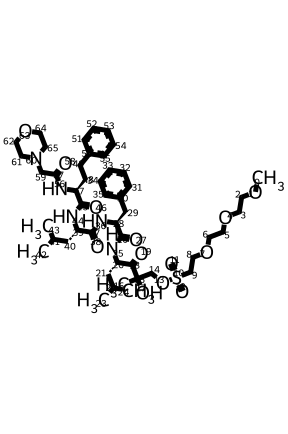 COCCOCCOCCS(=O)(=O)OCC(C)(O)C(=O)[C@H](CC(C)C)NC(=O)[C@H](Cc1ccccc1)NC(=O)[C@H](CC(C)C)NC(=O)[C@H](CCc1ccccc1)NC(=O)CN1CCOCC1